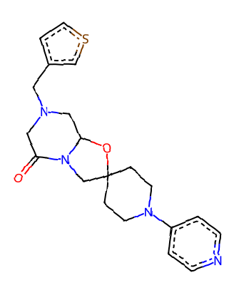 O=C1CN(Cc2ccsc2)CC2OC3(CCN(c4ccncc4)CC3)CN12